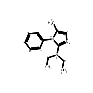 CCN(CC)c1ncc(C)n1-c1ccccc1